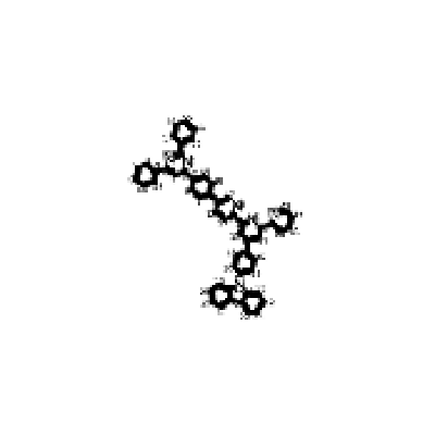 c1ccc(-c2cc(-c3ccc(-c4ccc(-c5cc(-c6ccc(-n7c8ccccc8c8ccccc87)cc6)cc(-c6ccccn6)n5)nc4)cc3)nc(-c3ccccc3)n2)cc1